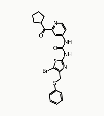 O=C(Nc1ccnc(C(=O)C2CCCC2)c1)Nc1nc(CSc2ccccc2)c(Br)s1